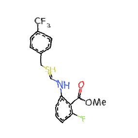 COC(=O)c1c(F)cccc1NC=[SH]Cc1ccc(C(F)(F)F)cc1